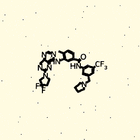 Cc1ccc(C(=O)Nc2cc(CN3CCCC3)cc(C(F)(F)F)c2)cc1Nc1ncnc2cnc(N3CCC(F)(F)C3)nc12